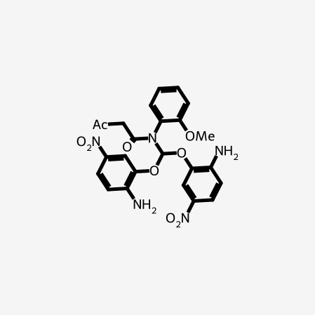 COc1ccccc1N(C(=O)CC(C)=O)C(Oc1cc([N+](=O)[O-])ccc1N)Oc1cc([N+](=O)[O-])ccc1N